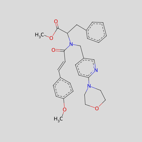 COC(=O)C(Cc1ccccc1)N(Cc1ccc(N2CCOCC2)nc1)C(=O)C=Cc1ccc(OC)cc1